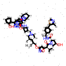 B[C@H](COc1cc([C@@H](C(=O)N2C[C@H](O)C[C@H]2C(=O)N[C@@H](C)c2ccc(-c3scnc3C)cc2)C(C)C)on1)[C@H]1CCN(C[C@H]2C[C@H](Oc3cc(N4C5CCC4CN(c4cc(-c6ccccc6O)nnc4N)C5)ccn3)C2)C[C@@H]1C